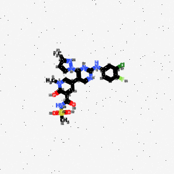 Cn1cc(-c2cnc(Nc3ccc(F)c(Cl)c3)nc2-n2ccc(C(F)(F)F)n2)cc(C(=O)NS(C)(=O)=O)c1=O